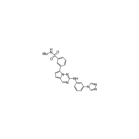 CC(C)(C)NS(=O)(=O)c1cccc(-c2ccc3cnc(Nc4cccc(-n5cnnc5)c4)nn23)c1